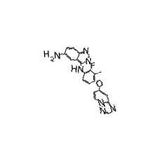 Cc1c(Oc2ccn3ncnc3c2)ccc(Nc2ncnc3ccc(N)cc23)c1F